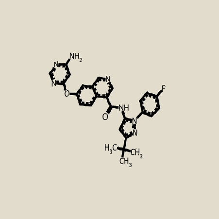 CC(C)(C)c1cc(NC(=O)c2cncc3cc(Oc4cc(N)ncn4)ccc23)n(-c2ccc(F)cc2)n1